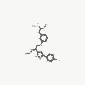 CCO/N=C(/COc1cccc(CC(OCC)C(=O)OCC)c1)c1cc(-c2ccc(F)cc2)no1